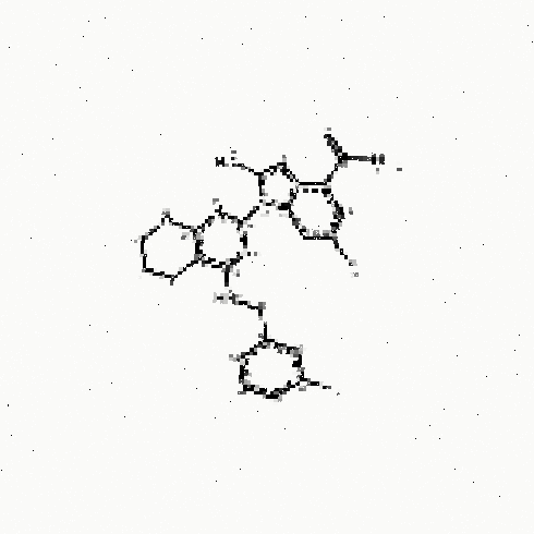 Cc1cc2c(C(N)=O)cc(F)cc2n1-c1nc(NCc2cccc(F)c2)c2c(n1)OCCC2